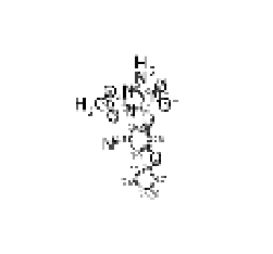 CS(=O)(=O)c1nc(N)c([N+](=O)[O-])c(Oc2cc(C#N)cc(Oc3ccccc3)c2)n1